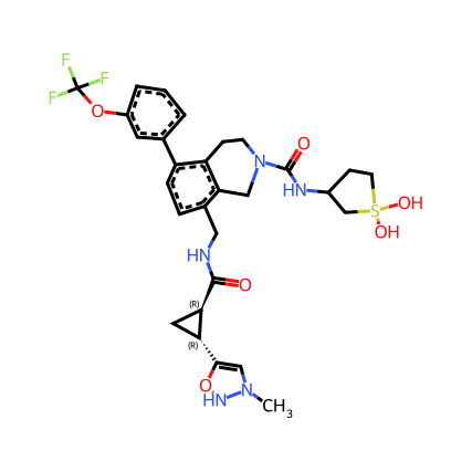 CN1C=C([C@@H]2C[C@H]2C(=O)NCc2ccc(-c3cccc(OC(F)(F)F)c3)c3c2CN(C(=O)NC2CCS(O)(O)C2)CC3)ON1